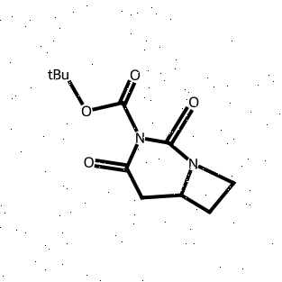 CC(C)(C)OC(=O)N1C(=O)CC2CCN2C1=O